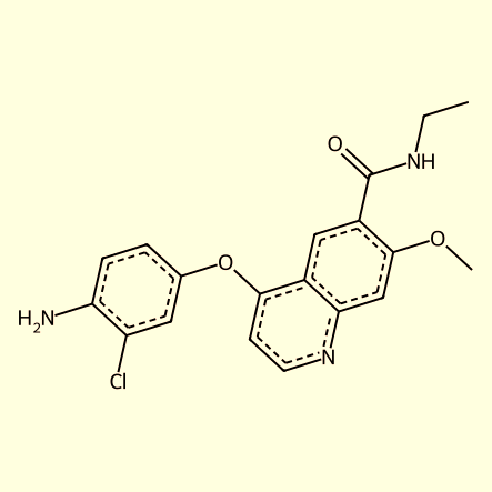 CCNC(=O)c1cc2c(Oc3ccc(N)c(Cl)c3)ccnc2cc1OC